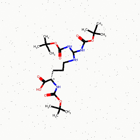 CC(C)(C)OC(=O)NC(NCCC[C@H](NC(=O)OC(C)(C)C)C(=O)O)NC(=O)OC(C)(C)C